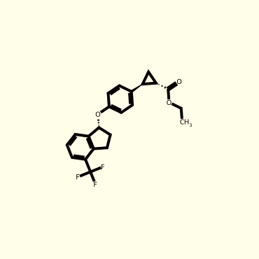 CCOC(=O)[C@H]1C[C@@H]1c1ccc(O[C@@H]2CCc3c2cccc3C(F)(F)F)cc1